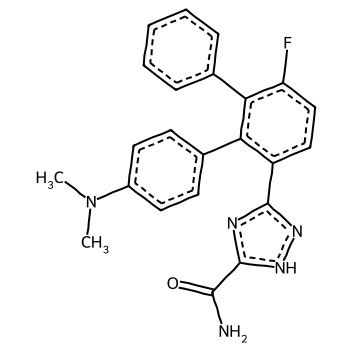 CN(C)c1ccc(-c2c(-c3n[nH]c(C(N)=O)n3)ccc(F)c2-c2ccccc2)cc1